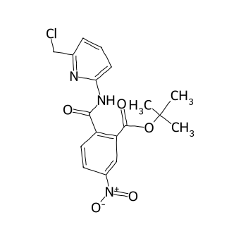 CC(C)(C)OC(=O)c1cc([N+](=O)[O-])ccc1C(=O)Nc1cccc(CCl)n1